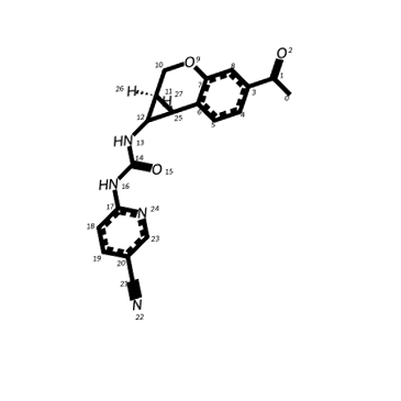 CC(=O)c1ccc2c(c1)OC[C@@H]1C(NC(=O)Nc3ccc(C#N)cn3)[C@H]21